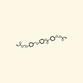 C=CC(=O)OCOc1ccc(COc2ccc(OC(=O)c3ccc(OCOC(=O)C=C)cc3)cc2)cc1